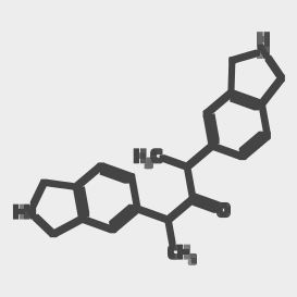 CC(C(=O)C(C)c1ccc2c(c1)CNC2)c1ccc2c(c1)CNC2